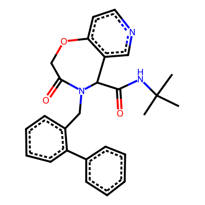 CC(C)(C)NC(=O)C1c2cnccc2OCC(=O)N1Cc1ccccc1-c1ccccc1